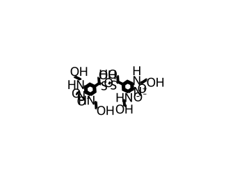 O=[N+]([O-])c1c(NCCO)cc(C(CO)SOSC(CO)c2cc(NCCO)c([N+](=O)[O-])c(NCCO)c2)cc1NCCO